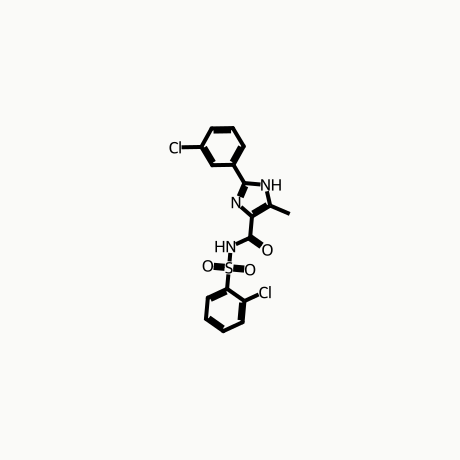 Cc1[nH]c(-c2cccc(Cl)c2)nc1C(=O)NS(=O)(=O)c1ccccc1Cl